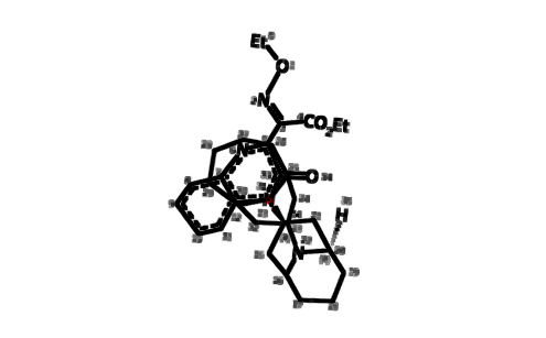 CCON=C(C(=O)OCC)c1nc2ccccc2n([C@@H]2CC3CCC[C@H](C2)N3C2CC3CCCCC(C3)C2)c1=O